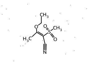 CCOC(C)=C(C#N)S(C)(=O)=O